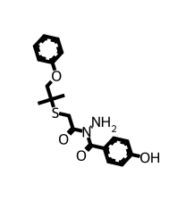 CC(C)(COc1ccccc1)SCC(=O)N(N)C(=O)c1ccc(O)cc1